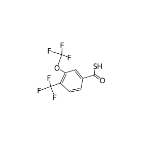 O=C(S)c1ccc(C(F)(F)F)c(OC(F)(F)F)c1